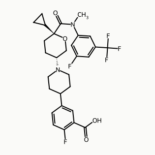 CN(C(=O)[C@@]1(C2CC2)CC[C@@H](N2CCC(c3ccc(F)c(C(=O)O)c3)CC2)CO1)c1cc(F)cc(C(F)(F)F)c1